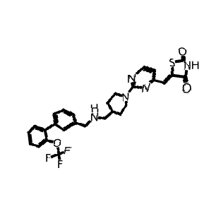 O=C1NC(=O)/C(=C/c2ccnc(N3CCC(CNCc4cccc(-c5ccccc5OC(F)(F)F)c4)CC3)n2)S1